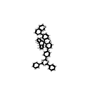 C1=CCC(c2nc(-c3ccccc3)nc(C3C=CC(C4=CC5C(C=C4)Sc4ccc(C6CC=Cc7ccncc76)cc4C54c5ccccc5-c5ccccc54)=CC3)n2)C=C1